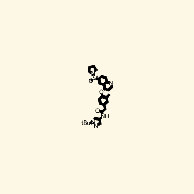 Cc1cc(CC(=O)Nc2cnn(C(C)(C)C)c2)ccc1Oc1ccnc2ccc([S+]([O-])N3CCCC3)cc12